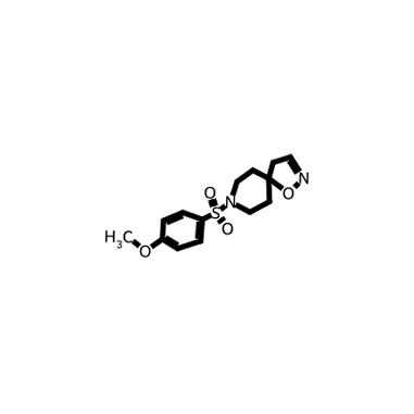 COc1ccc(S(=O)(=O)N2CCC3(CC=NO3)CC2)cc1